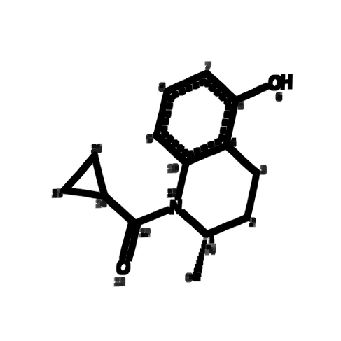 C[C@H]1CCc2c(O)cccc2N1C(=O)C1CC1